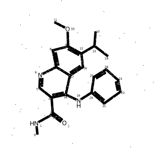 CNC(=O)c1cnc2cc(OC)c(C(C)C)cc2c1Nc1ccccc1